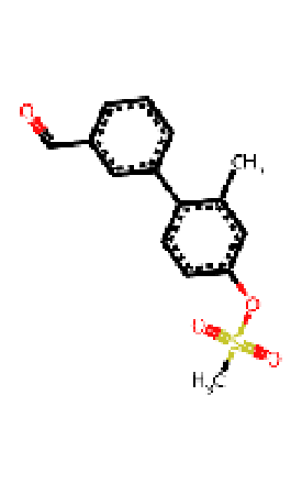 Cc1cc(OS(C)(=O)=O)ccc1-c1cccc(C=O)c1